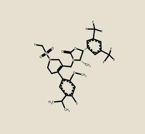 COc1cc(F)c(C(C)C)cc1C1=C(CN2C(=O)O[C@H](c3cc(C(F)(F)F)cc(C(F)(F)F)c3)[C@@H]2C)CN(S(=O)(=O)CF)CC1